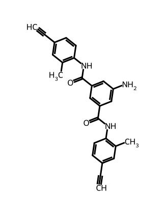 C#Cc1ccc(NC(=O)c2cc(N)cc(C(=O)Nc3ccc(C#C)cc3C)c2)c(C)c1